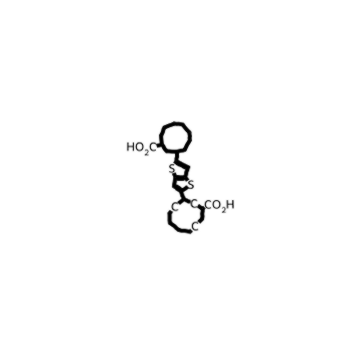 O=C(O)C1CCCCCCCC(c2cc3sc(C4CCCCCCCC(C(=O)O)C4)cc3s2)C1